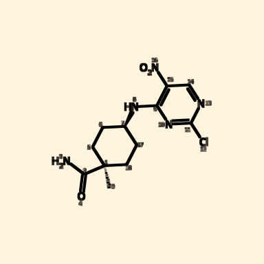 C[C@]1(C(N)=O)CC[C@@H](Nc2nc(Cl)ncc2[N+](=O)[O-])CC1